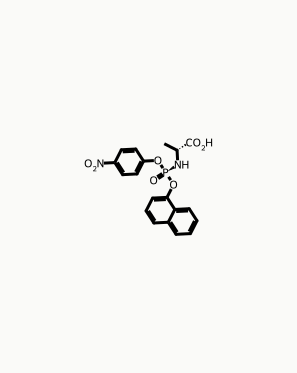 C[C@@H](N[P@@](=O)(Oc1ccc([N+](=O)[O-])cc1)Oc1cccc2ccccc12)C(=O)O